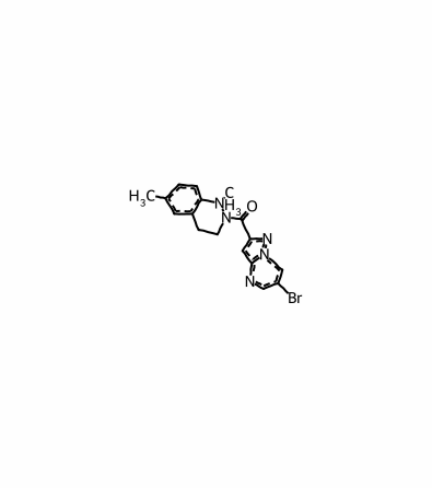 Cc1ccc2c(c1)CCN(C(=O)c1cc3ncc(Br)cn3n1)N2C